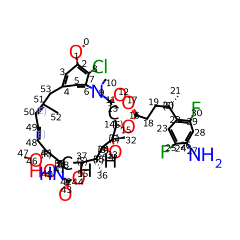 COc1cc2cc(c1Cl)N(C)C(=O)C[C@H](OC(=O)CC[C@H](C)c1cc(F)c(N)cc1F)[C@]1(C)O[C@H]1[C@H](C)[C@@H]1C[C@@](O)(NC(=O)O1)[C@H](OC)/C=C/C=C(\C)C2